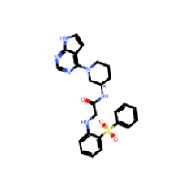 O=C(CNc1ccccc1S(=O)(=O)c1ccccc1)N[C@@H]1CCCN(c2ncnc3[nH]ccc23)C1